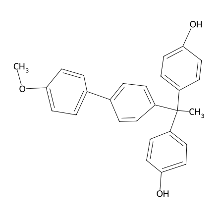 COc1ccc(-c2ccc(C(C)(c3ccc(O)cc3)c3ccc(O)cc3)cc2)cc1